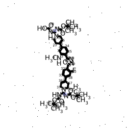 CNc1cc(C2=CCN(/C(=N\C(=O)OC(C)(C)C)NC(=O)O)CC2)ccc1-c1nnc(-c2ccc(C3=CCN(/C(=N\C(=O)OC(C)(C)C)NC(=O)OC(C)(C)C)CC3)cc2F)o1